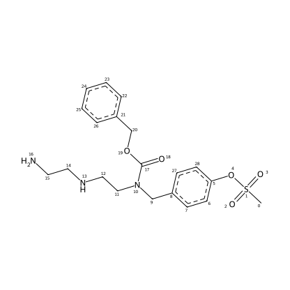 CS(=O)(=O)Oc1ccc(CN(CCNCCN)C(=O)OCc2ccccc2)cc1